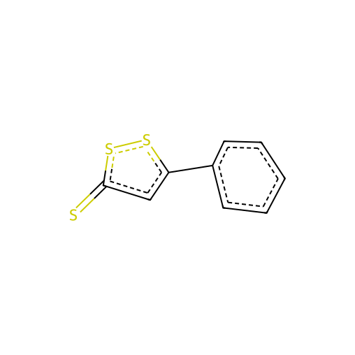 S=c1cc(-c2ccccc2)ss1